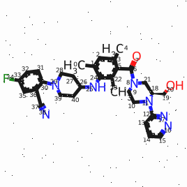 Cc1cc(C)c(C(=O)N2CCN(c3cccnn3)[C@H](CO)C2)c(C)c1NC1CCN(c2ccc(F)cc2C#N)CC1